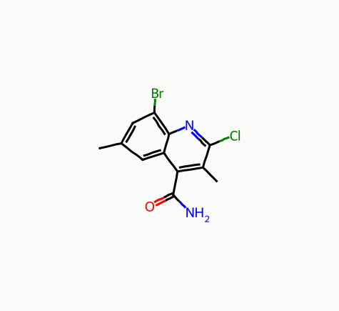 Cc1cc(Br)c2nc(Cl)c(C)c(C(N)=O)c2c1